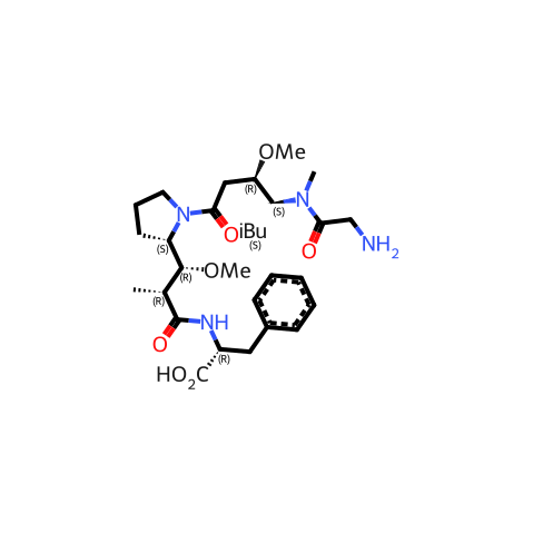 CC[C@H](C)[C@@H]([C@@H](CC(=O)N1CCC[C@H]1[C@H](OC)[C@@H](C)C(=O)N[C@H](Cc1ccccc1)C(=O)O)OC)N(C)C(=O)CN